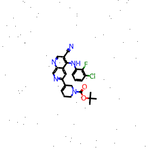 CC(C)(C)OC(=O)N1CCC=C(c2cc3c(Nc4cccc(Cl)c4F)c(C#N)cnc3cn2)C1